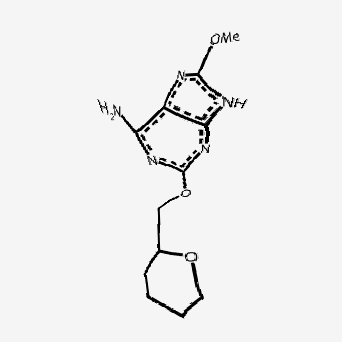 COc1nc2c(N)nc(OCC3CCCCO3)nc2[nH]1